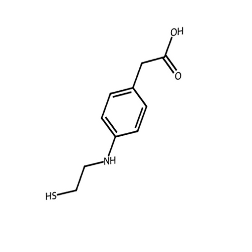 O=C(O)Cc1ccc(NCCS)cc1